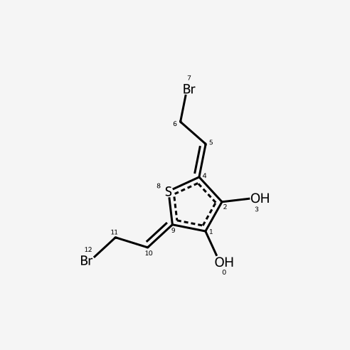 Oc1c(O)c(=CCBr)sc1=CCBr